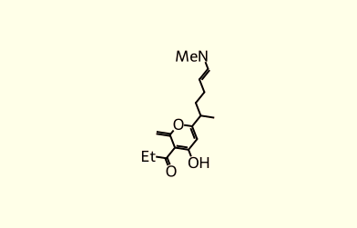 C=C1OC(C(C)CC/C=C/NC)=CC(O)=C1C(=O)CC